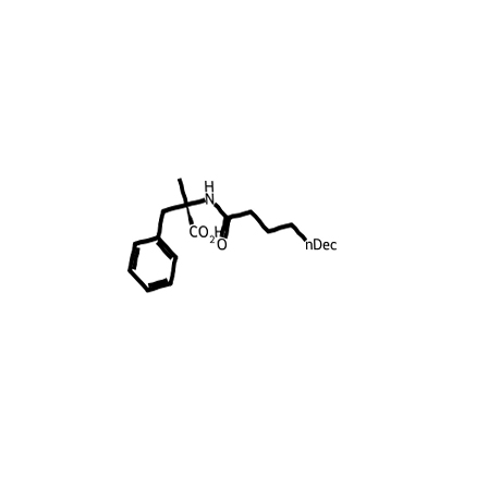 CCCCCCCCCCCCCC(=O)N[C@@](C)(Cc1ccccc1)C(=O)O